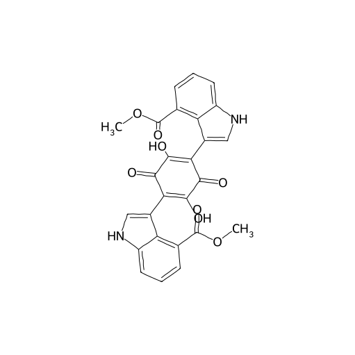 COC(=O)c1cccc2[nH]cc(C3=C(O)C(=O)C(c4c[nH]c5cccc(C(=O)OC)c45)=C(O)C3=O)c12